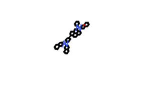 c1ccc(N(c2ccc3ccccc3c2)c2cc3ccc(-c4ccc(N(c5ccc6ccccc6c5)c5ccc6ccccc6c5)cc4)c4ccc5cccc2c5c34)cc1